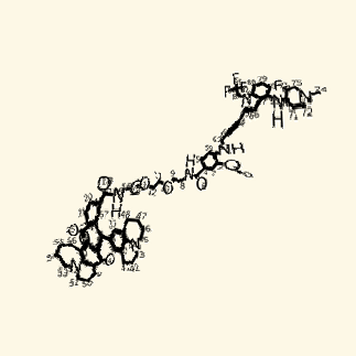 COc1cc(C(=O)NCCOCCOCCNC(=O)c2ccc(C(=O)[O-])c(C3=c4cc5c6c(c4Oc4c3cc3c7c4CCCN7CCCC3)CCC[N+]=6CCCC5)c2)ccc1NCC#Cc1cc2c(N[C@@H]3CCN(C)C[C@@H]3F)cccc2n1CC(F)(F)F